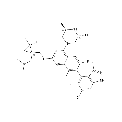 CC[C@@H]1CN(c2nc(OC[C@@]3(CN(C)C)CC3(F)F)nc3c(F)c(-c4c(C)c(Cl)cc5[nH]nc(C)c45)c(F)cc23)C[C@@H](C)N1